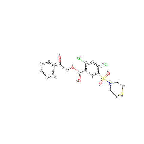 O=C(COC(=O)c1cc(S(=O)(=O)N2CCSCC2)c(Cl)cc1Cl)c1ccccc1